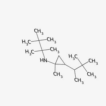 CC(C1CC1(C)NC(C)(C)C(C)(C)C)C(C)(C)C